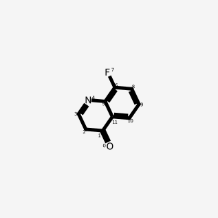 O=C1CC=Nc2c(F)cccc21